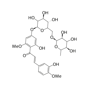 COc1ccc(/C=C/C(=O)c2c(O)cc(O[C@@H]3OC(CO[C@@H]4OC(C)[C@H](O)C(O)[C@@H]4O)[C@@H](O)[C@H](O)C3O)cc2OC)cc1O